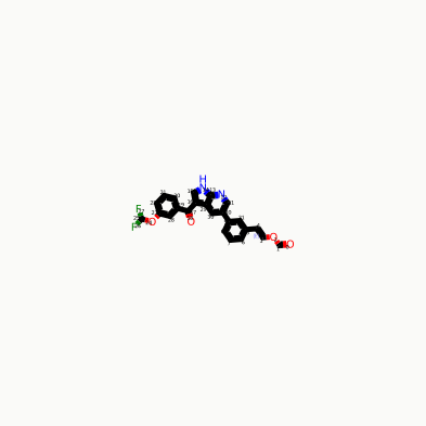 O=CO/C=C/c1cccc(-c2cnc3[nH]cc(C(=O)c4cccc(OC(F)F)c4)c3c2)c1